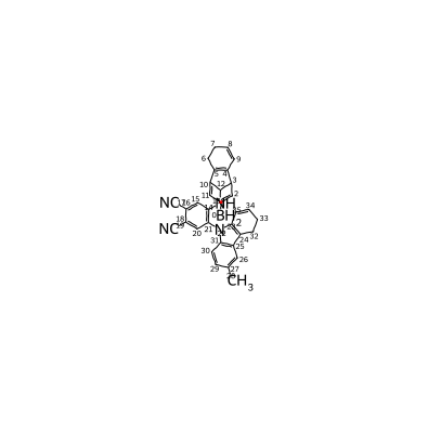 BC1=CC2C3=C(CCC=C3)C(=C1)C2Nc1cc(C#N)c(C#N)cc1-n1c2c(c3cc(C)ccc31)CCC=C2